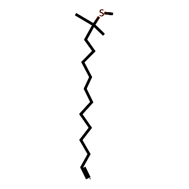 [CH]=CCCCCCCCCCCC(C)(C)SC